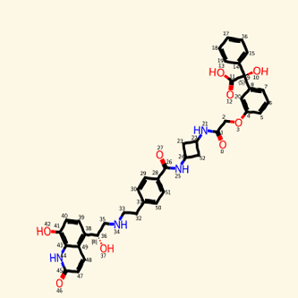 O=C(COc1cccc([C@](O)(C(=O)O)c2ccccc2)c1)NC1CC(NC(=O)c2ccc(CCNC[C@H](O)c3ccc(O)c4[nH]c(=O)ccc34)cc2)C1